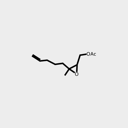 C=CCCCC1(C)OC1COC(C)=O